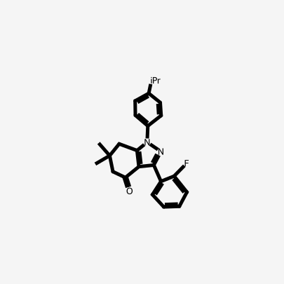 CC(C)c1ccc(-n2nc(-c3ccccc3F)c3c2CC(C)(C)CC3=O)cc1